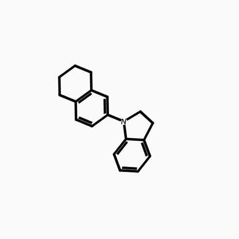 c1ccc2c(c1)CCN2c1ccc2c(c1)CCCC2